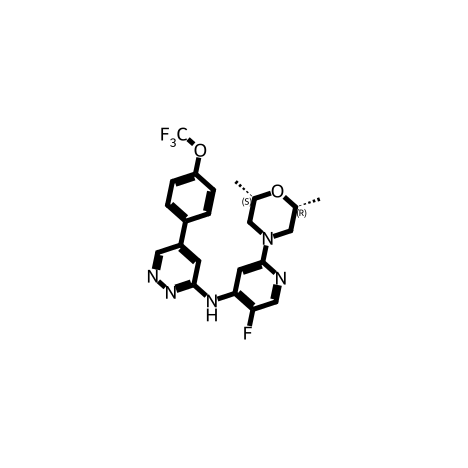 C[C@@H]1CN(c2cc(Nc3cc(-c4ccc(OC(F)(F)F)cc4)cnn3)c(F)cn2)C[C@H](C)O1